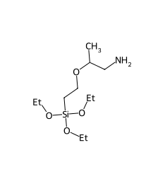 CCO[Si](CCOC(C)CN)(OCC)OCC